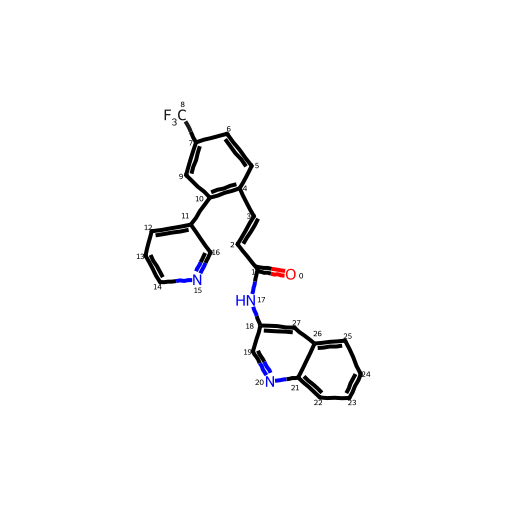 O=C(C=Cc1ccc(C(F)(F)F)cc1-c1cccnc1)Nc1cnc2ccccc2c1